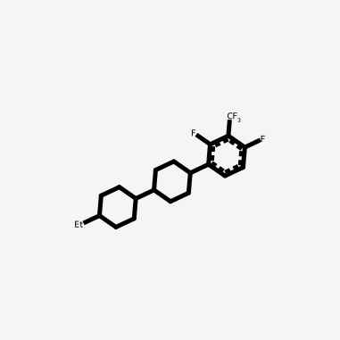 CCC1CCC(C2CCC(c3ccc(F)c(C(F)(F)F)c3F)CC2)CC1